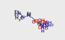 CCN(CC)CCCN(C)CCCN(CC)CCCCCC(=O)OC[C@@H]1O[C@H](n2c(=O)[nH]c3c(=O)[nH]c(N)nc32)C(O)C1O